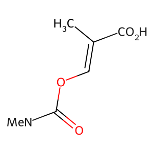 CNC(=O)OC=C(C)C(=O)O